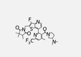 Cc1cc(C(F)(F)F)nc(-c2ccnc3c(F)c(CN4C(=O)C(C)C(C)(C)C4=O)sc23)c1C(=O)N1CC[C@H](N(C)C)C1